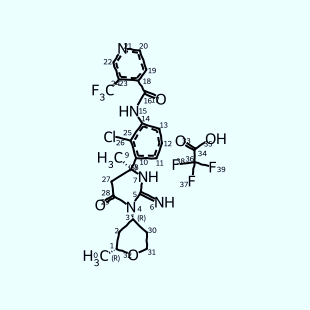 C[C@@H]1C[C@H](N2C(=N)N[C@](C)(c3cccc(NC(=O)c4ccncc4C(F)(F)F)c3Cl)CC2=O)CCO1.O=C(O)C(F)(F)F